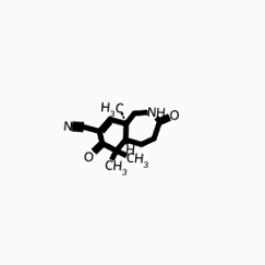 CC1(C)C(=O)C(C#N)=C[C@@]2(C)CNC(=O)CC[C@H]12